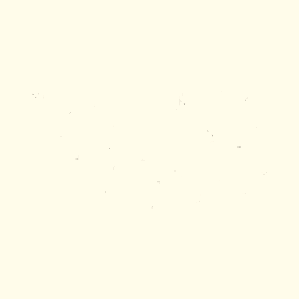 COc1ccc(-c2cccc(-c3cc4c(s3)CCCC43CCSC(N)=N3)c2)cc1